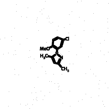 COc1ccc(Cl)cc1-n1nc(C)cc1C